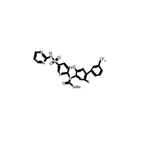 CNC(=O)N(c1ccc(S(=O)(=O)Nc2ncccn2)cn1)c1cc(F)c(-c2cccc(C(F)(F)F)c2)cc1OC